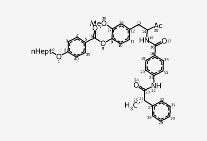 CCCCCCCOc1ccc(C(=O)Oc2ccc(CC(NC(=O)c3ccc(NC(=O)[C@@H](C)c4ccccc4)cc3)C(C)=O)cc2OC)cc1